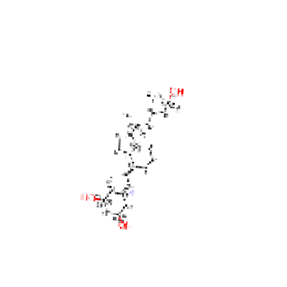 C=C1/C(=C\C=C2CCC[C@@]3(C)C2CC[C@@H]3[C@H](C)CCC[C@](C)(O)C(F)(F)F)C[C@@H](O)C[C@H]1O